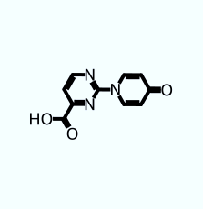 O=C(O)c1ccnc(-n2ccc(=O)cc2)n1